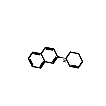 C1=C[C@@H](c2ccc3ccccc3c2)CCC1